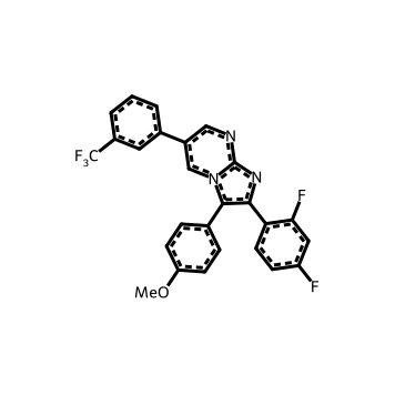 COc1ccc(-c2c(-c3ccc(F)cc3F)nc3ncc(-c4cccc(C(F)(F)F)c4)cn23)cc1